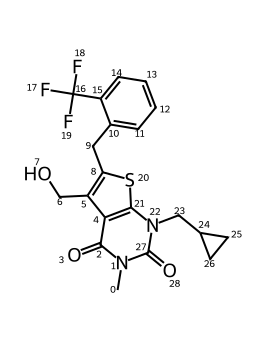 Cn1c(=O)c2c(CO)c(Cc3ccccc3C(F)(F)F)sc2n(CC2CC2)c1=O